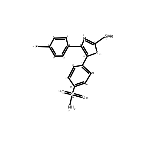 CSc1nc(-c2ccc(F)cc2)c(-c2ccc(S(N)(=O)=O)cc2)s1